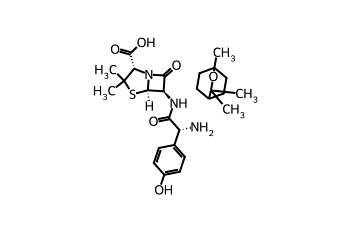 CC1(C)S[C@@H]2[C@H](NC(=O)[C@H](N)c3ccc(O)cc3)C(=O)N2[C@H]1C(=O)O.CC12CCC(CC1)C(C)(C)O2